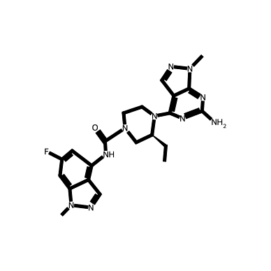 CC[C@H]1CN(C(=O)Nc2cc(F)cc3c2cnn3C)CCN1c1nc(N)nc2c1cnn2C